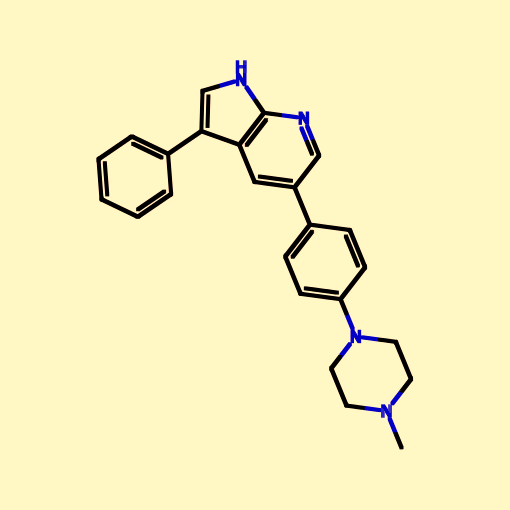 CN1CCN(c2ccc(-c3cnc4[nH]cc(-c5ccccc5)c4c3)cc2)CC1